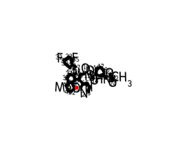 COc1ncccc1-c1c(C(=O)NS(=O)(=O)c2cccc(NS(C)(=O)=O)c2)n(Cc2ccc(F)cc2F)c2ccc3ccccc3c12